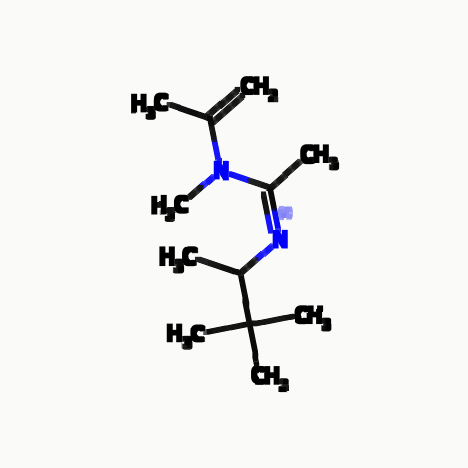 C=C(C)N(C)/C(C)=N\C(C)C(C)(C)C